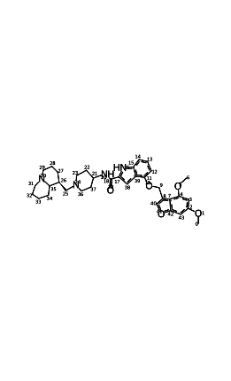 COc1cc(OC)c2c(COc3cccc4[nH]c(C(=O)NC5CCN(C[C@@H]6CCCN7CCCCC67)CC5)cc34)coc2c1